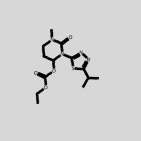 CCOC(=O)OC1CCN(C)C(=O)N1c1nnc(C(C)C)s1